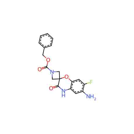 Nc1cc2c(cc1F)OC1(CN(C(=O)OCc3ccccc3)C1)C(=O)N2